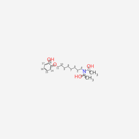 CC(O)N(CCCCCCCCOc1ccccc1O)C(C)O